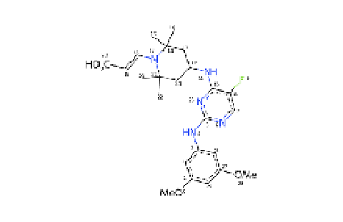 COc1cc(Nc2ncc(F)c(NC3CC(C)(C)N(C=CC(=O)O)C(C)(C)C3)n2)cc(OC)c1